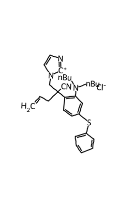 C=CCC(C#N)(CN1[C+]=NC=C1)c1ccc(Sc2ccccc2)cc1N(CCCC)CCCC.[Cl-]